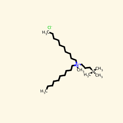 CCCCCCCCCC[N+](C)(CCCCCCCCCC)CCC[Si](C)(C)C.[Cl-]